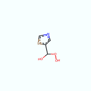 OOC(O)c1cncs1